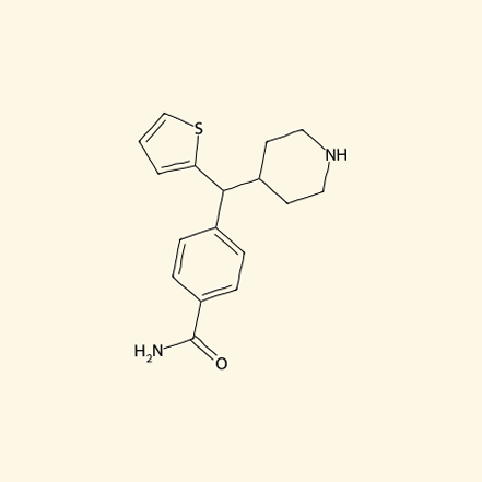 NC(=O)c1ccc(C(c2cccs2)C2CCNCC2)cc1